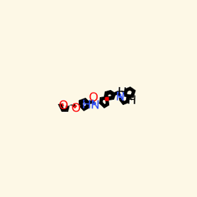 O=C(N[C@H]1CCc2cc(CN3CCC[C@H]4CCCC[C@@H]43)ccc2C1)c1ccc(OC[C@@H]2CCCO2)cc1